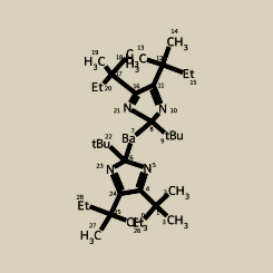 CCC(C)(C)C1=N[C]([Ba][C]2(C(C)(C)C)N=C(C(C)(C)CC)C(C(C)(C)CC)=N2)(C(C)(C)C)N=C1C(C)(C)CC